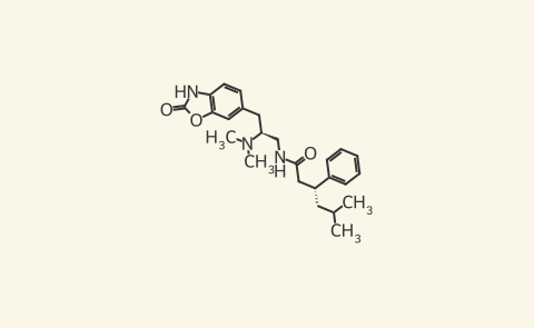 CC(C)C[C@H](CC(=O)NC[C@H](Cc1ccc2[nH]c(=O)oc2c1)N(C)C)c1ccccc1